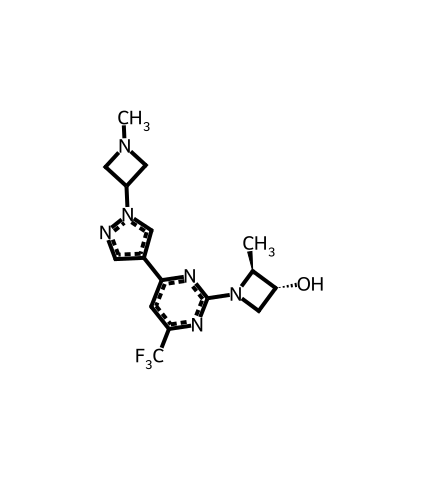 C[C@H]1[C@H](O)CN1c1nc(-c2cnn(C3CN(C)C3)c2)cc(C(F)(F)F)n1